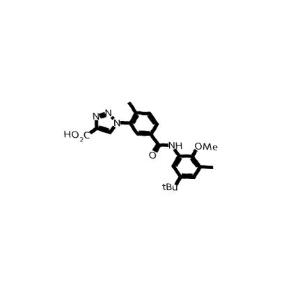 COc1c(C)cc(C(C)(C)C)cc1NC(=O)c1ccc(C)c(-n2cc(C(=O)O)nn2)c1